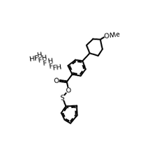 COC1CCC(c2ccc(C(=O)OSc3ccccc3)cc2)CC1.F.F.F.F.F